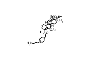 CC(=O)O[C@@H]1C[C@@]23COC[C@@](C)(C2CC[C@H]2C3=CC[C@@]3(C)[C@H](C(=O)O)[C@@](C)([C@H](C)C(C)C)CC[C@]23C)[C@H]1OCCN1CCN(CCCN)CC1